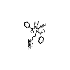 [N-]=[N+]=NCCCCN(C(=N)NC(=O)c1ccccc1)C(=O)c1ccccc1